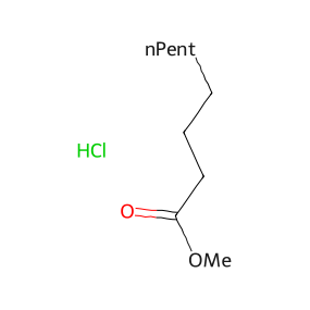 CCCCCCCCC(=O)OC.Cl